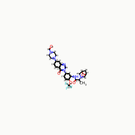 CC(C(=O)Nc1cc(-n2cnc3cc(N4CCN(C=O)CC4)ccc3c2=O)ccc1OC(F)(F)F)N1CC2CC(C1)O2